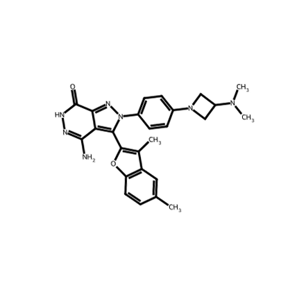 Cc1ccc2oc(-c3c4c(N)n[nH]c(=O)c4nn3-c3ccc(N4CC(N(C)C)C4)cc3)c(C)c2c1